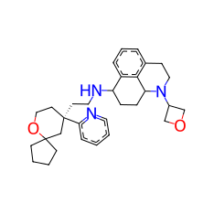 c1ccc([C@]2(CCNC3CCC4c5c(cccc53)CCN4C3COC3)CCOC3(CCCC3)C2)nc1